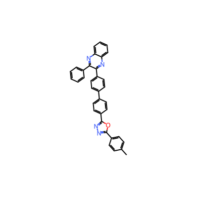 Cc1ccc(-c2nnc(-c3ccc(-c4ccc(-c5nc6ccccc6nc5-c5ccccc5)cc4)cc3)o2)cc1